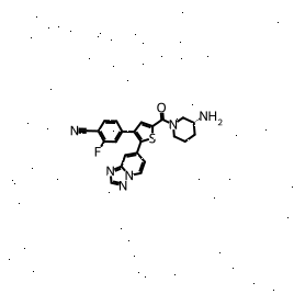 N#Cc1ccc(-c2cc(C(=O)N3CCC[C@@H](N)C3)sc2-c2ccn3ncnc3c2)cc1F